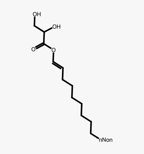 CCCCCCCCCCCCCCCCC=COC(=O)C(O)CO